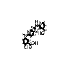 CN(c1ccc(Cl)c(C(=O)O)c1)c1ccc2nc(Nc3cc(CO)ccn3)sc2n1